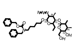 CCC1O[C@H](OCCCCCN(Cc2ccccc2)C(=O)OCc2ccccc2)C(N=[N+]=[N-])[C@@H](C)[C@@H]1O[C@@H]1OC(CO)[C@@H](O)[C@H](C)C1C